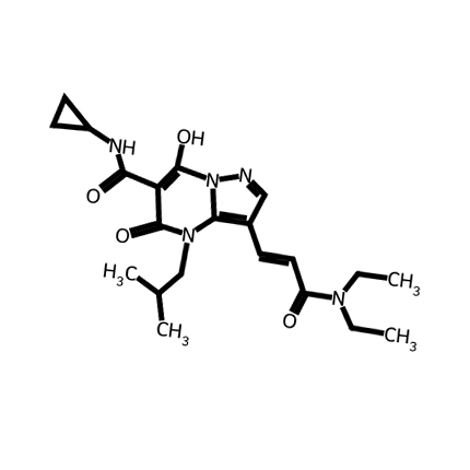 CCN(CC)C(=O)C=Cc1cnn2c(O)c(C(=O)NC3CC3)c(=O)n(CC(C)C)c12